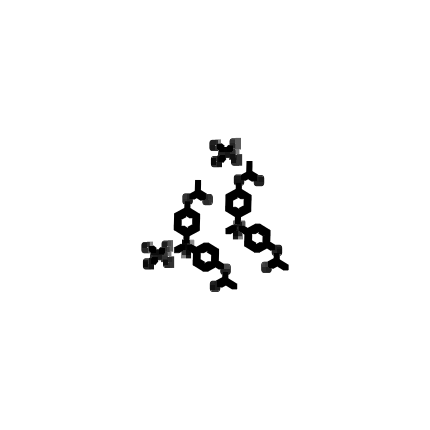 CC(=O)Oc1ccc([PH+](C)c2ccc(OC(C)=O)cc2)cc1.CC(=O)Oc1ccc([PH+](C)c2ccc(OC(C)=O)cc2)cc1.[Cl][Mn-]([Cl])([Cl])[Cl].[Cl][Mn-]([Cl])([Cl])[Cl]